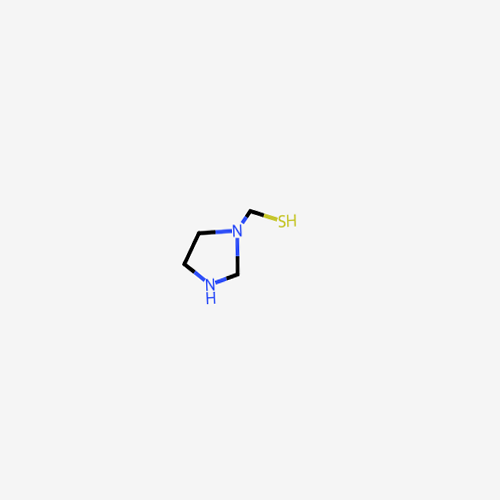 SCN1CCNC1